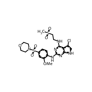 COc1cc(S(=O)(=O)N2CCOCC2)ccc1Nc1nc(NCCS(C)(=O)=O)c2c(Cl)c[nH]c2n1